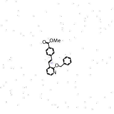 COC(=O)c1ccc(/C=C/c2cccnc2OCc2ccccc2)cc1